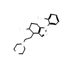 Oc1ccccc1-n1ncc2c1CCC(O)C2CCN1CCOCC1